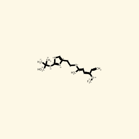 C=C/C(=C\C=C(/C)OCCc1csc(SC(C)(C)C(=O)O)n1)OC(F)(F)F